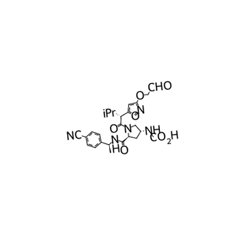 CC(C)[C@@H](C(=O)N1C[C@H](NC(=O)O)C[C@H]1C(=O)N[C@@H](C)c1ccc(C#N)cc1)c1cc(OCC=O)no1